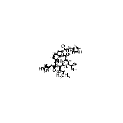 CCC(C)C(NC(=O)Cc1nn[nH]n1)C(=O)NC(CCC(=O)O)C(=O)N1c2ncccc2C[C@H]1C(=O)NCc1nn[nH]n1